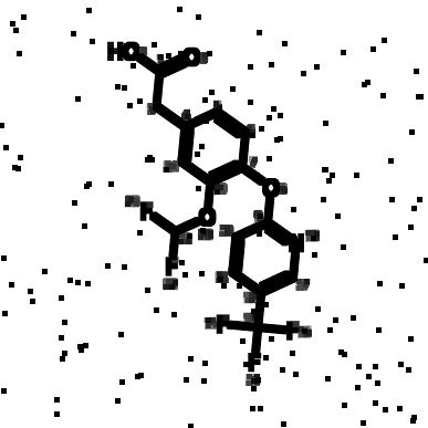 O=C(O)Cc1ccc(Oc2ccc(C(F)(F)F)cn2)c(OC(F)F)c1